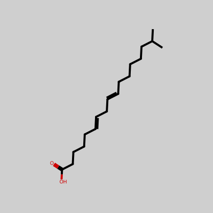 CC(C)CCCCC/C=C/C/C=C/CCCCC(=O)O